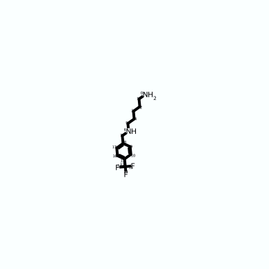 NCCCCCNCc1ccc(C(F)(F)F)cc1